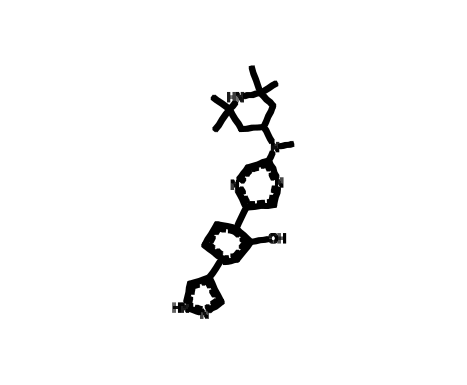 CN(c1cnc(-c2ccc(-c3cn[nH]c3)cc2O)cn1)C1CC(C)(C)NC(C)(C)C1